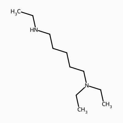 CCNCCCCCN(CC)CC